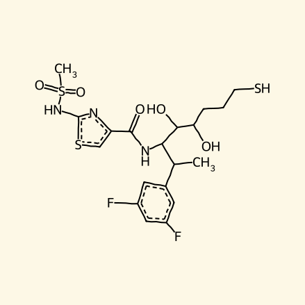 CC(c1cc(F)cc(F)c1)C(NC(=O)c1csc(NS(C)(=O)=O)n1)C(O)C(O)CCCS